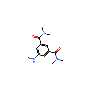 CNc1cc(C(=O)N(C)C)cc(C(=O)N(C)C)c1